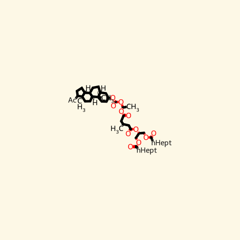 CCCCCCCC(=O)OCC(COC(=O)CCCCCCC)OC(=O)CC(C)CC(=O)OC(C)OC(=O)O[C@@H]1CCC2(C)[C@@H](CCC3[C@@H]4CCC(C(C)=O)C4(C)CC[C@@H]32)C1